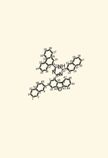 c1ccc2cc(-c3cc(C4=NC(c5ccc6ccccc6c5)NC(c5cc6ccccc6c6ccccc56)=N4)c4c(c3)oc3ccccc34)ccc2c1